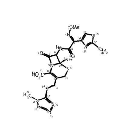 CON=C(C(=O)NC1C(=O)N2C(C(=O)O)=C(CSc3nnnn3C)CS[C@@H]12)c1csc(C)n1